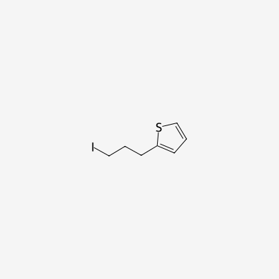 ICCCc1cccs1